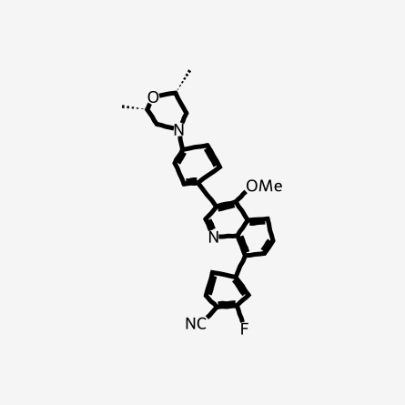 COc1c(-c2ccc(N3C[C@@H](C)O[C@@H](C)C3)cc2)cnc2c(-c3ccc(C#N)c(F)c3)cccc12